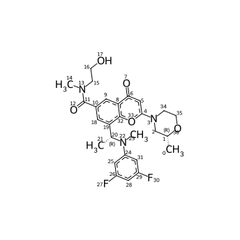 C[C@@H]1CN(c2cc(=O)c3cc(C(=O)N(C)CCO)cc([C@@H](C)N(C)c4cc(F)cc(F)c4)c3o2)CCO1